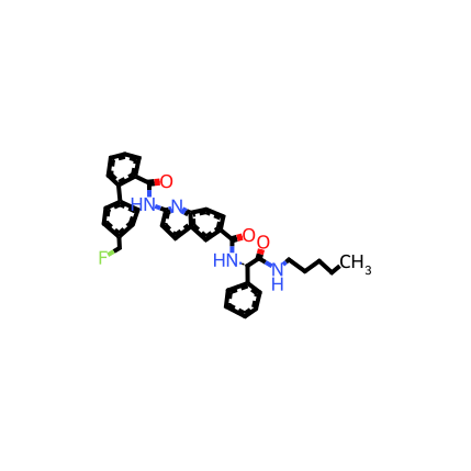 CCCCCNC(=O)[C@@H](NC(=O)c1ccc2nc(NC(=O)c3ccccc3-c3ccc(CF)cc3)ccc2c1)c1ccccc1